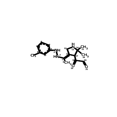 CC(NNc1cccc(Cl)c1)=C1CNC(C)(C)C1C(=O)C=O